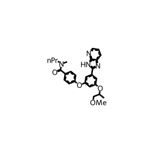 CCCN(C)C(=O)c1ccc(Oc2cc(OC(C)COC)cc(-c3nc4cccnc4[nH]3)c2)cc1